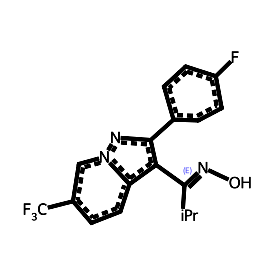 CC(C)/C(=N\O)c1c(-c2ccc(F)cc2)nn2cc(C(F)(F)F)ccc12